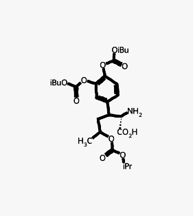 CC(C)COC(=O)Oc1ccc(C(CC(C)OC(=O)OC(C)C)[C@H](N)C(=O)O)cc1OC(=O)OCC(C)C